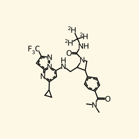 [2H]C([2H])([2H])NC(=O)N1CC(c2ccc(C(=O)N(C)C)cc2)C1CNc1cc(C2CC2)nc2cc(C(F)(F)F)nn12